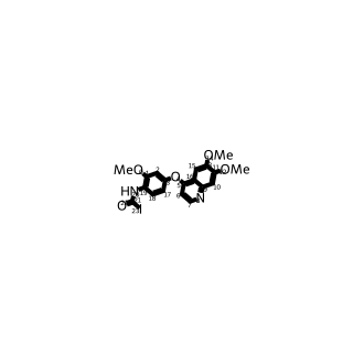 COc1cc(Oc2ccnc3cc(OC)c(OC)cc23)ccc1NC(=O)I